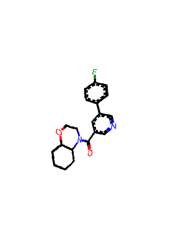 O=C(c1cncc(-c2ccc(F)cc2)c1)N1CCOC2CCCCC21